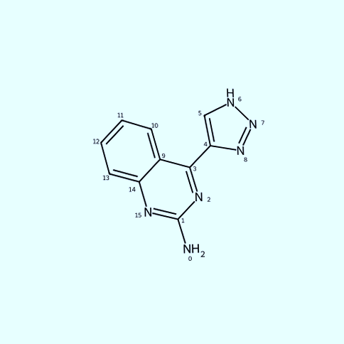 Nc1nc(-c2c[nH]nn2)c2ccccc2n1